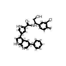 O=C(NC(CO)c1ccc(F)c(Cl)c1)c1cc(-c2c[nH]c3ncc(-c4ccccc4)cc23)c[nH]1